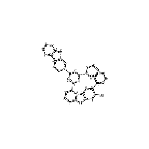 Clc1cc2oc3cccc(-c4nc(-c5ccccc5)nc(-c5ccc6c(c5)oc5ccccc56)n4)c3c2cc1-c1ccccc1